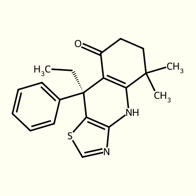 CC[C@]1(c2ccccc2)C2=C(Nc3ncsc31)C(C)(C)CCC2=O